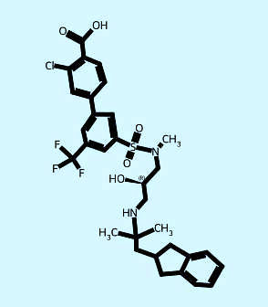 CN(C[C@H](O)CNC(C)(C)CC1Cc2ccccc2C1)S(=O)(=O)c1cc(-c2ccc(C(=O)O)c(Cl)c2)cc(C(F)(F)F)c1